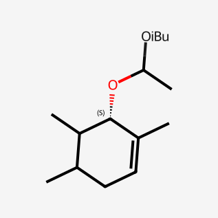 CC1=CCC(C)C(C)[C@@H]1OC(C)OCC(C)C